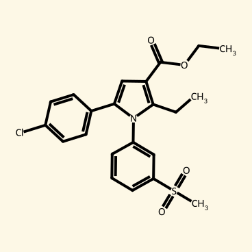 CCOC(=O)c1cc(-c2ccc(Cl)cc2)n(-c2cccc(S(C)(=O)=O)c2)c1CC